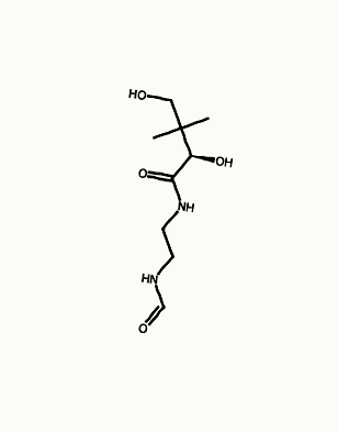 CC(C)(CO)[C@@H](O)C(=O)NCCNC=O